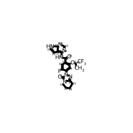 C[C@H](Oc1cc(-n2nc3n(c2=O)CCCC3)c(F)cc1C(=O)Nc1ncnc2[nH]ccc12)C(F)(F)F